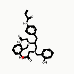 C=CC(=O)Nc1ccc(CC(CN(CC(=O)O)Cc2ccccc2O)N(CC(=O)O)Cc2ccccc2O)cc1